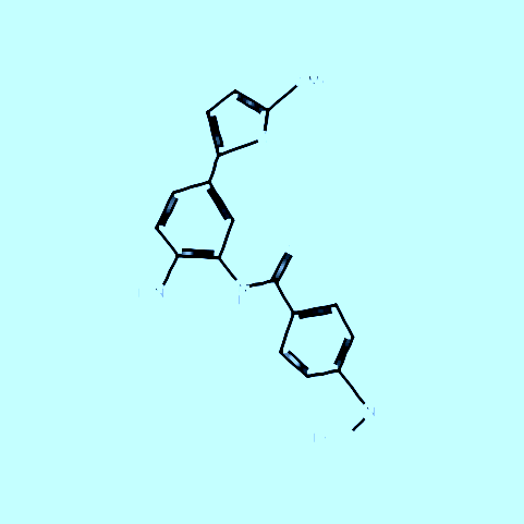 CSc1ccc(-c2ccc(N)c(NC(=O)c3ccc(NC(=O)O)cc3)c2)s1